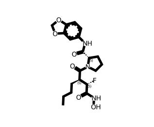 CCCC[C@@H](C(=O)N1CCC[C@H]1C(=O)Nc1ccc2c(c1)OCO2)[C@H](F)C(=O)NO